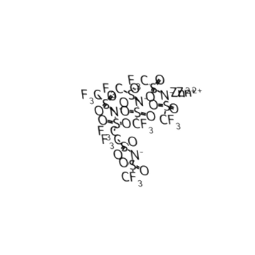 O=S(=O)([N-]S(=O)(=O)C(F)(F)F)C(F)(F)F.O=S(=O)([N-]S(=O)(=O)C(F)(F)F)C(F)(F)F.O=S(=O)([N-]S(=O)(=O)C(F)(F)F)C(F)(F)F.O=S(=O)([N-]S(=O)(=O)C(F)(F)F)C(F)(F)F.[Zn+2].[Zn+2]